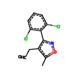 Cc1onc(-c2c(Cl)cccc2Cl)c1CC=O